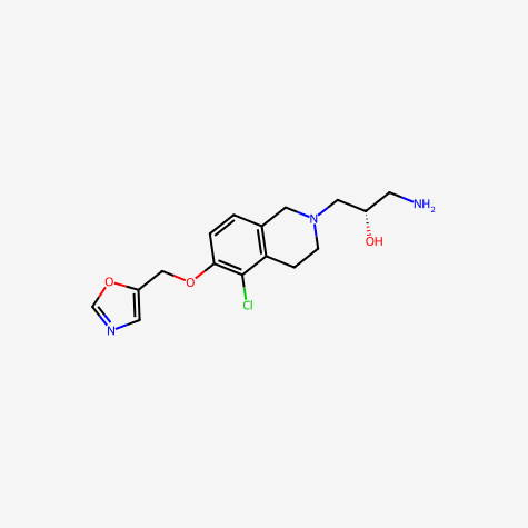 NC[C@H](O)CN1CCc2c(ccc(OCc3cnco3)c2Cl)C1